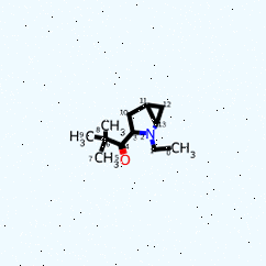 CCN1C(C(=O)C(C)(C)C)CC2CC21